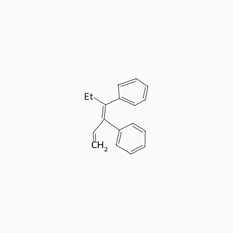 C=CC(=C(CC)c1ccccc1)c1ccccc1